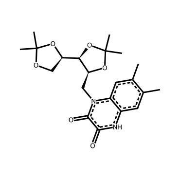 Cc1cc2[nH]c(=O)c(=O)n(C[C@@H]3OC(C)(C)O[C@@H]3[C@H]3COC(C)(C)O3)c2cc1C